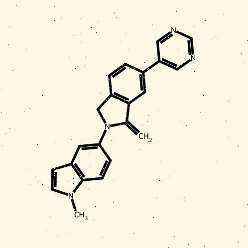 C=C1c2cc(-c3cncnc3)ccc2CN1c1ccc2c(ccn2C)c1